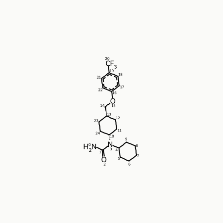 NC(=O)N(C1CCCCC1)[C@H]1CC[C@H](COc2ccc(C(F)(F)F)cc2)CC1